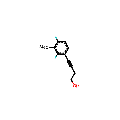 COc1c(F)ccc(C#CCCO)c1F